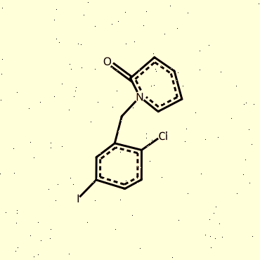 O=c1ccccn1Cc1cc(I)ccc1Cl